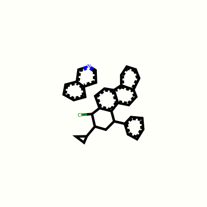 ClC1c2ccc3c(ccc4ccccc43)c2C(c2ccccc2)CC1C1CC1.c1ccc2cnccc2c1